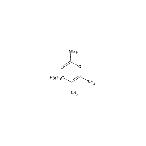 Br.CNC(=O)OC(C)=C(C)C